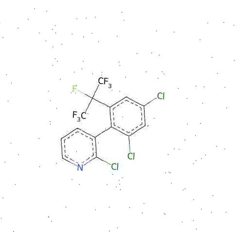 FC(F)(F)C(F)(c1cc(Cl)[c]c(Cl)c1-c1cccnc1Cl)C(F)(F)F